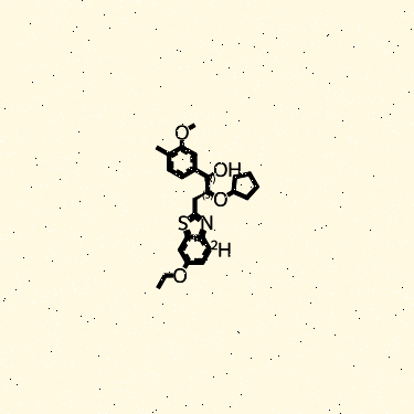 [2H]c1cc(OCC)cc2sc(C[C@H](OC3CCCC3)[C@H](O)c3ccc(C)c(OC)c3)nc12